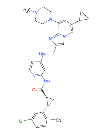 CN1CCN(c2cc(C3CC3)cn3cc(CNc4ccnc(NC(=O)[C@H]5C[C@@H]5c5cc(Cl)ccc5C#N)c4)nc23)CC1